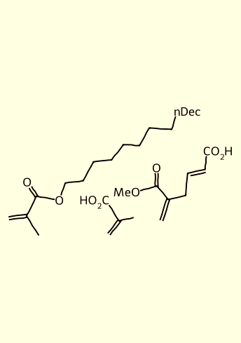 C=C(C)C(=O)O.C=C(C)C(=O)OCCCCCCCCCCCCCCCCCC.C=C(CC=CC(=O)O)C(=O)OC